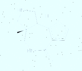 O=C1NC[C@@H]2CNC[C@H]2c2sccc21